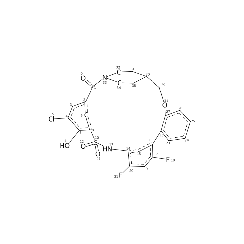 O=C1c2cc(Cl)c(O)c(c2)S(=O)(=O)Nc2cc(c(F)cc2F)-c2ccccc2OCC2CCN1CC2